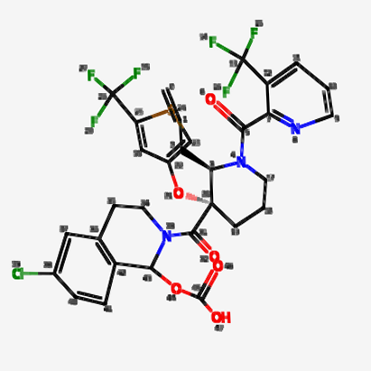 C=CC[C@H]1N(C(=O)c2ncccc2C(F)(F)F)CCC[C@@]1(Oc1csc(C(F)(F)F)c1)C(=O)N1CCc2cc(Cl)ccc2C1OC(=O)O